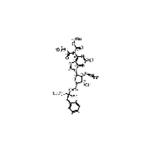 CCOC(=O)C(Cc1ccccc1)(OC[C@H]1O[C@@H](n2cnc3c(N(C(=O)OC(C)(C)C)C(=O)OC(C)(C)C)nc(Cl)nc32)[C@@H](N=[N+]=[N-])[C@@H]1O)C(C)=O